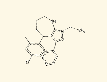 Cc1cc(Cl)ccc1C1SCCNc2c1c(-c1ccccn1)nn2CC(F)(F)F